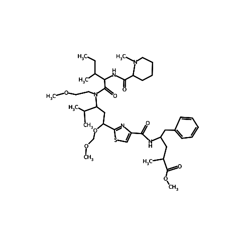 CCC(C)C(NC(=O)C1CCCCN1C)C(=O)N(CCOC)C(CC(OCOC)c1nc(C(=O)NC(Cc2ccccc2)CC(C)C(=O)OC)cs1)C(C)C